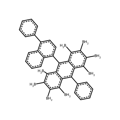 Bc1c(B)c(B)c2c(-c3ccc(-c4ccccc4)c4ccccc34)c3c(B)c(B)c(B)c(B)c3c(-c3ccccc3)c2c1B